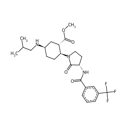 COC(=O)[C@H]1C[C@H](NCC(C)C)CC[C@@H]1N1CC[C@H](NC(=O)c2cccc(C(F)(F)F)c2)C1=O